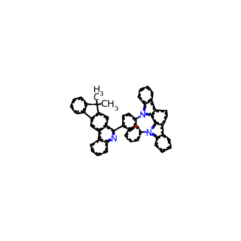 CC1(C)c2ccccc2-c2cc3c(cc21)c(-c1ccc(-n2c4ccccc4c4ccc5c6ccccc6n(-c6ccccc6)c5c42)cc1)nc1ccccc13